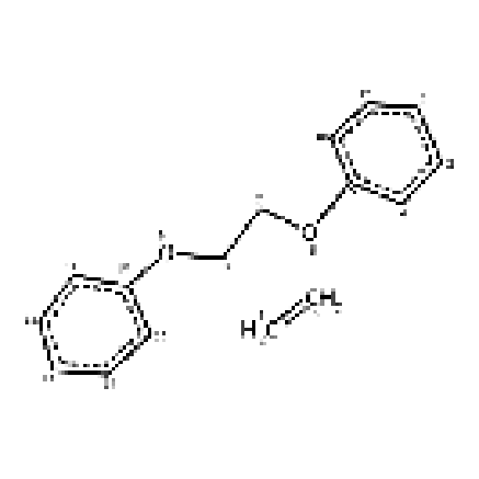 C=C.c1ccc(OCCOc2ccccc2)cc1